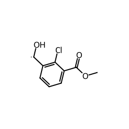 COC(=O)c1cccc([CH]O)c1Cl